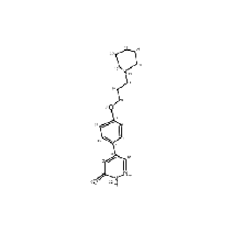 O=c1cc(-c2ccc(OCCCN3CCCCC3)cc2)cn[nH]1